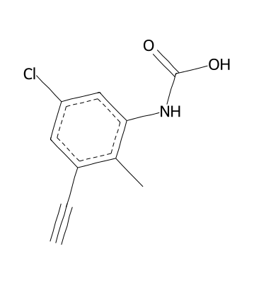 C#Cc1cc(Cl)cc(NC(=O)O)c1C